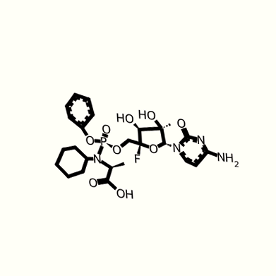 C[C@@H](C(=O)O)N(C1CCCCC1)[P@](=O)(OC[C@@]1(F)O[C@@H](n2ccc(N)nc2=O)[C@](C)(O)[C@@H]1O)Oc1ccccc1